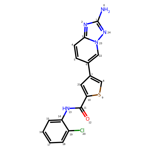 Nc1nc2ccc(-c3csc(C(=O)Nc4ccccc4Cl)c3)cn2n1